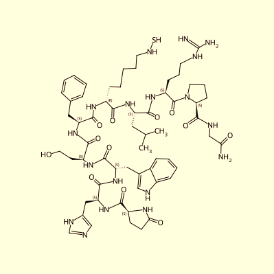 CC(C)C[C@H](NC(=O)[C@@H](CCCCCNS)NC(=O)[C@H](Cc1ccccc1)NC(=O)[C@H](CCO)NC(=O)[C@H](Cc1c[nH]c2ccccc12)NC(=O)[C@H](Cc1cnc[nH]1)NC(=O)[C@@H]1CCC(=O)N1)C(=O)N[C@@H](CCCNC(=N)N)C(=O)N1CCC[C@H]1C(=O)NCC(N)=O